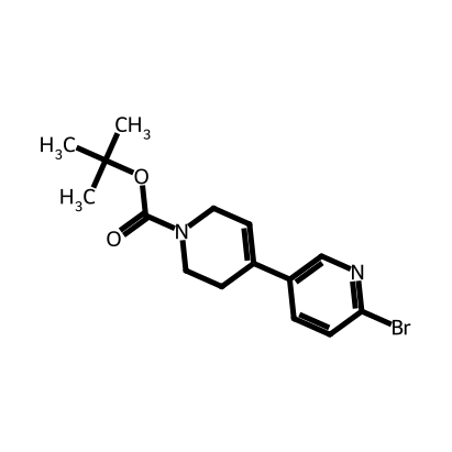 CC(C)(C)OC(=O)N1CC=C(c2ccc(Br)nc2)CC1